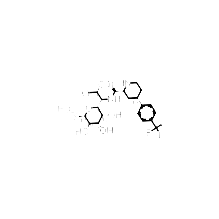 CS[C@H]1O[C@H](C(NC(=O)[C@@H]2C[C@H](c3ccc(C(F)(F)F)cc3)CCN2)[C@H](C)Cl)[C@H](O)[C@H](O)[C@H]1O